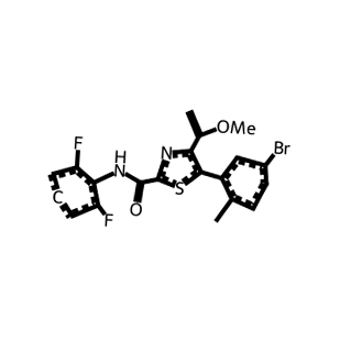 C=C(OC)c1nc(C(=O)Nc2c(F)cccc2F)sc1-c1cc(Br)ccc1C